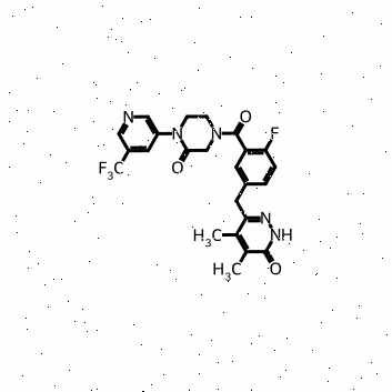 Cc1c(Cc2ccc(F)c(C(=O)N3CCN(c4cncc(C(F)(F)F)c4)C(=O)C3)c2)n[nH]c(=O)c1C